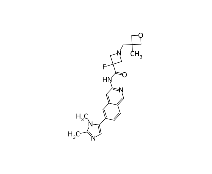 Cc1ncc(-c2ccc3cnc(NC(=O)C4(F)CN(CC5(C)COC5)C4)cc3c2)n1C